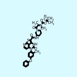 Cc1cc(Oc2ccccc2)ccc1N1C(=O)Nc2c(C(=O)N[C@@H]3CCCN(C(=O)[C@@H](C)N(C)C(=O)OC(C)(C)C)C3)sc3nccc1c23